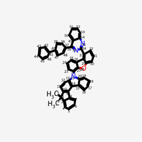 CC1(C)c2ccccc2-c2c1ccc1c2c2ccccc2n1-c1cccc2c1oc1cccc(-c3nc(-c4ccc(-c5ccccc5)cc4)c4ccccc4n3)c12